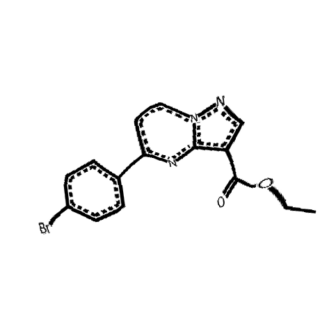 CCOC(=O)c1cnn2ccc(-c3ccc(Br)cc3)nc12